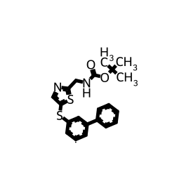 CC(C)(C)OC(=O)NCc1ncc(Sc2c[c]cc(-c3ccccc3)c2)s1